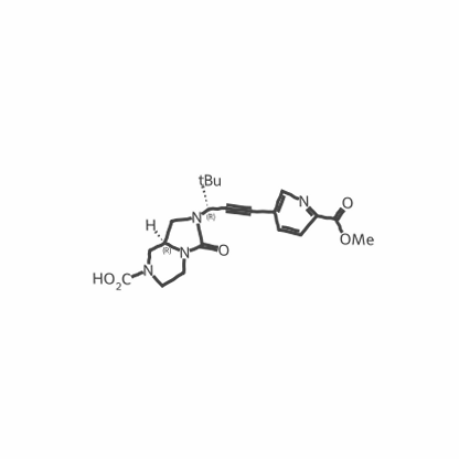 COC(=O)c1ccc(C#C[C@H](N2C[C@@H]3CN(C(=O)O)CCN3C2=O)C(C)(C)C)cn1